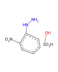 NNc1ccccc1[N+](=O)[O-].O=S(=O)(O)O